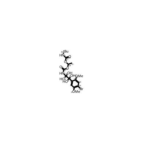 COc1cc(C(O)(O)C(O)(O)NC(=O)OC(C)OC(=O)NC(C)(C)C)c(OC)cc1Br